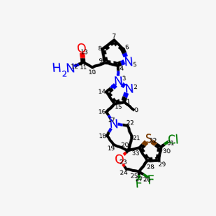 Cc1nn(-c2ncccc2CC(N)=O)cc1CN1CCC2(CC1)OCC(F)(F)c1cc(Cl)sc12